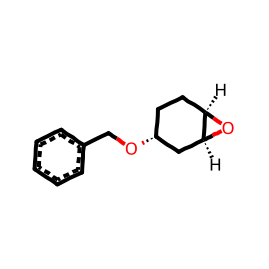 c1ccc(CO[C@@H]2CC[C@H]3O[C@H]3C2)cc1